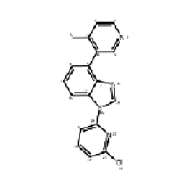 Cc1ccncc1-c1cccc2c1ncn2-c1cccc(Cl)n1